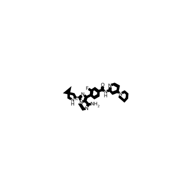 Nc1nccn2c([C@@H]3CC4(CC4)CN3)nc(-c3ccc(C(=O)Nc4cc(N5CCCCC5)ccn4)cc3F)c12